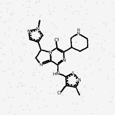 Cc1nsc(NC2=NC(C3CCCNC3)=C(Cl)N3C2=NCC3c2cnn(C)c2)c1Cl